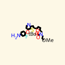 COCCN(Cc1ccc(-c2cc3nccc(Oc4ccc(N)cc4F)c3s2)o1)C(=O)OC(C)(C)C